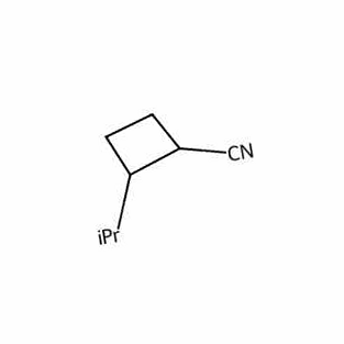 CC(C)C1CCC1C#N